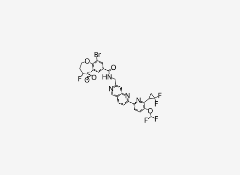 O=C(NCc1cc2nc(-c3ccc(OC(F)F)c(C4CC4(F)F)n3)ccc2cn1)c1cc(Br)c2c(c1)S(=O)(=O)[C@@H](F)CCO2